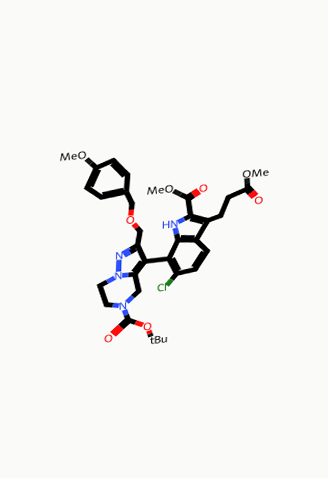 COC(=O)CCc1c(C(=O)OC)[nH]c2c(-c3c(COCc4ccc(OC)cc4)nn4c3CN(C(=O)OC(C)(C)C)CC4)c(Cl)ccc12